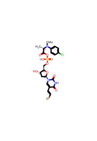 CON(c1ccc(Cl)cc1)[C@@H](C)C(=O)OP(=O)(O)OC[C@H]1O[C@@H](n2cc(/C=C/Br)c(=O)[nH]c2=O)C[C@@H]1O